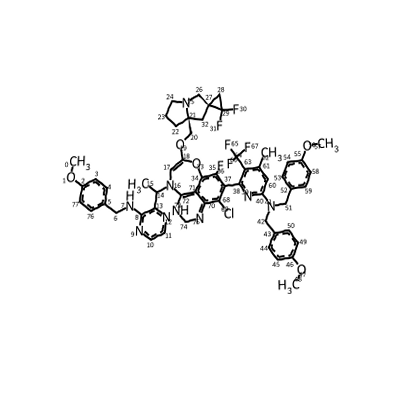 COc1ccc(CNc2nccnc2C(C)N2C=C(OC[C@@]34CCCN3C[C@]3(CC3(F)F)C4)Oc3c(F)c(-c4nc(N(Cc5ccc(OC)cc5)Cc5ccc(OC)cc5)cc(C)c4C(F)(F)F)c(Cl)c4c3=C2NCN=4)cc1